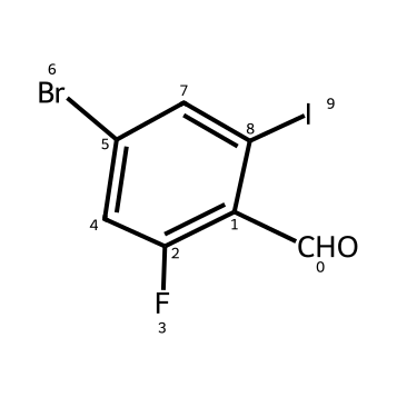 O=Cc1c(F)cc(Br)cc1I